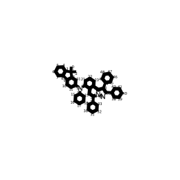 CC1(C)c2ccccc2-c2ccc(N(c3ccccc3)c3cccc4c3cc(-c3ccccc3)n3nc(-c5ccccc5)c(-c5ccccc5)c43)cc21